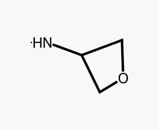 [NH]C1COC1